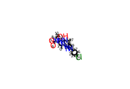 Cc1cc(N2C(=O)OC[C@@H]2[C@@H](C)O)nc(N[C@@H](C)c2cn(-c3ccc(Cl)cc3)nn2)n1